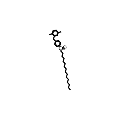 CCCCCCCCCCCCCCC[CH2][Co](=[O])[c]1ccc(Cc2cc(C)ccc2C)cc1